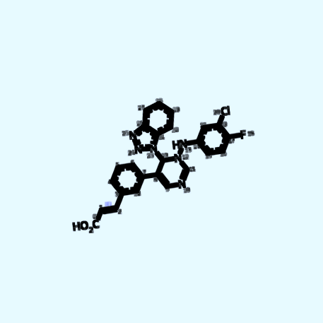 O=C(O)/C=C/c1cccc(C2=CN=CN(Nc3ccc(F)c(Cl)c3)C2n2nnc3ccccc32)c1